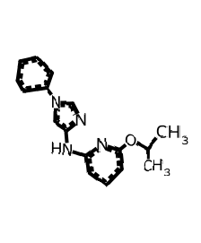 CC(C)Oc1cccc(Nc2cn(-c3ccccc3)cn2)n1